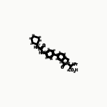 CC(C)C(C(=O)O)N1Cc2ccc(-c3ccc(NC(=O)NC4CCCCC4)cc3)cc2C1=O